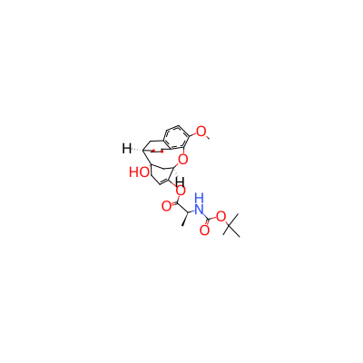 COc1ccc2c3c1O[C@@H]1C[C@@](O)(CC=C1OC(=O)[C@H](C)NC(=O)OC(C)(C)C)[C@H](CCCC3)C2